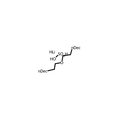 CCCCCCCCCCCCOCCCCCCCCCCCC.O=S(=O)(O)O.[LiH]